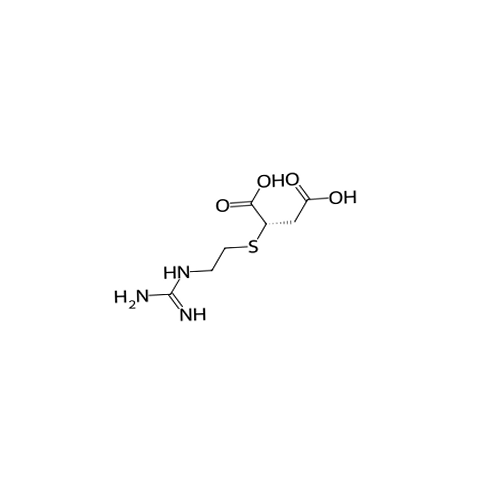 N=C(N)NCCS[C@@H](CC(=O)O)C(=O)O